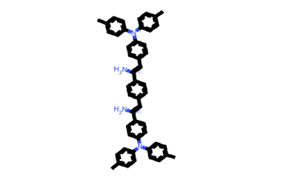 Cc1ccc(N(c2ccc(C)cc2)c2ccc(/C=C(\N)c3ccc(/C=C(\N)c4ccc(N(c5ccc(C)cc5)c5ccc(C)cc5)cc4)cc3)cc2)cc1